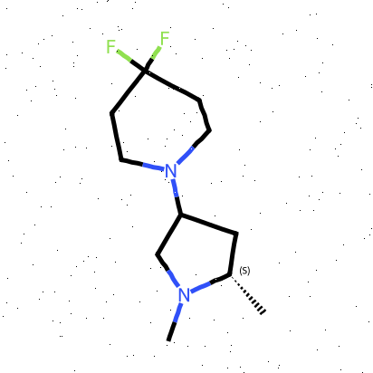 C[C@H]1CC(N2CCC(F)(F)CC2)CN1C